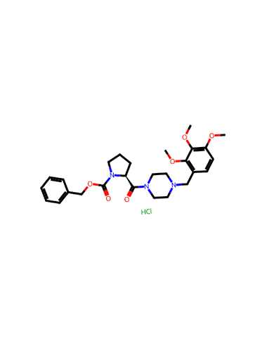 COc1ccc(CN2CCN(C(=O)[C@@H]3CCCN3C(=O)OCc3ccccc3)CC2)c(OC)c1OC.Cl